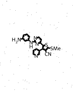 CSc1sc(-c2ccnc(Nc3cccc(N)c3)n2)c(-c2cccnc2)c1C#N